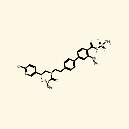 CC(C)Nc1cc(-c2ccc(CCN(C[C@H](O)c3ccc(Cl)nc3)C(=O)OC(C)(C)C)cc2)ccc1C(=O)NS(C)(=O)=O